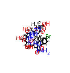 CC(=O)N[C@@H](CCC(N)=O)C(=O)N[C@@H](CO)C(=O)N[C@@H](CO)C(=O)N[C@@H](CO)C(=O)N[C@@H](CCCCNC(=O)c1ccc(Br)cc1)C(=O)N[C@@H](C)C(=O)O